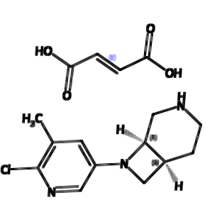 Cc1cc(N2C[C@@H]3CCNC[C@@H]32)cnc1Cl.O=C(O)/C=C/C(=O)O